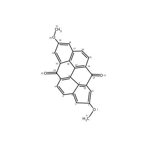 COc1cc2ccc3c4c2c(c1)c(=O)c1ccc2cc(OC)cc(c3=O)c2c1-4